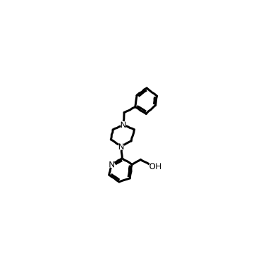 OCc1cccnc1N1CCN(Cc2ccccc2)CC1